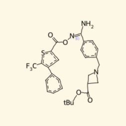 CC(C)(C)OC(=O)C1CN(Cc2ccc(/C(N)=N\OC(=O)c3cc(-c4ccccc4)c(C(F)(F)F)s3)cc2)C1